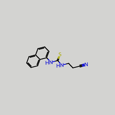 N#CCCNC(=S)Nc1cccc2ccccc12